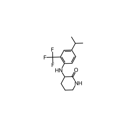 CC(C)c1ccc(NC2CCCNC2=O)c(C(F)(F)F)c1